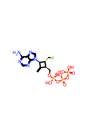 C=C1[C@@H](n2cnc3c(N)ncnc32)[C@H](CF)[C@H]1COP(=O)(O)OP(=O)(O)OP(=O)(O)O